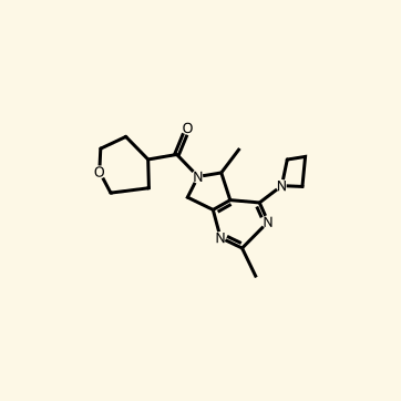 Cc1nc2c(c(N3CCC3)n1)C(C)N(C(=O)C1CCOCC1)C2